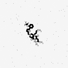 CCCCN1C(=O)C(CC(C)C)NC(=O)C12CCN(Cc1ccc(-c3ccccc3OC(F)(F)F)o1)CC2